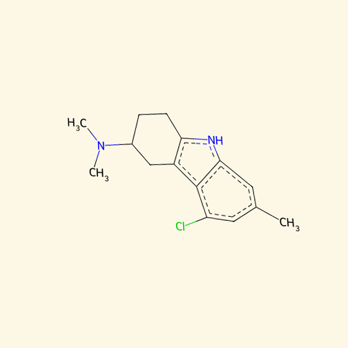 Cc1cc(Cl)c2c3c([nH]c2c1)CCC(N(C)C)C3